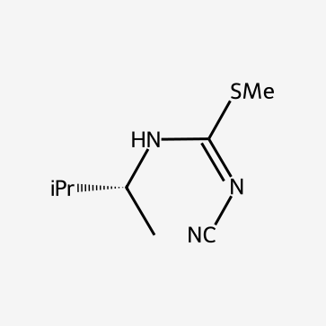 CSC(=NC#N)N[C@H](C)C(C)C